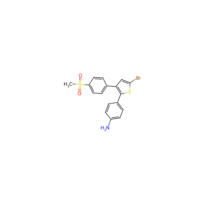 CS(=O)(=O)c1ccc(-c2cc(Br)sc2-c2ccc(N)cc2)cc1